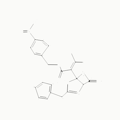 CC(O)=C(C(=O)OCc1ccc([N+](=O)[O-])cc1)C12NC(=O)C1N=C(Cc1ccccc1)S2